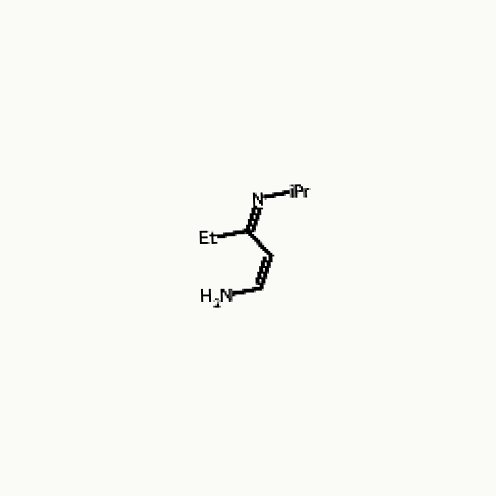 CCC(/C=C\N)=N/C(C)C